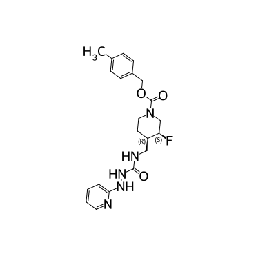 Cc1ccc(COC(=O)N2CC[C@H](CNC(=O)NNc3ccccn3)[C@H](F)C2)cc1